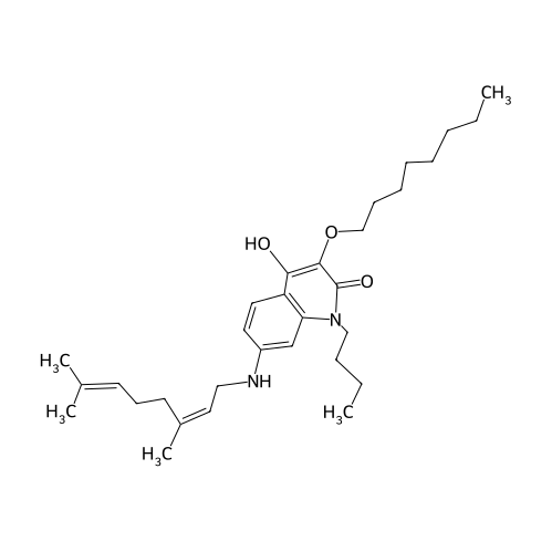 CCCCCCCCOc1c(O)c2ccc(NCC=C(C)CCC=C(C)C)cc2n(CCCC)c1=O